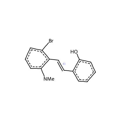 CNc1cccc(Br)c1/C=C/c1ccccc1O